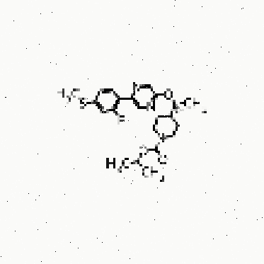 CSc1ccc(-c2cnc(O[C@@H](C)C3CCN(C(=O)OC(C)C)CC3)cn2)c(F)c1